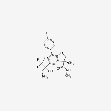 CNC(=O)[C@@]1(C)COc2c1cc(C(O)(CN)C(F)(F)F)nc2-c1ccc(F)cc1